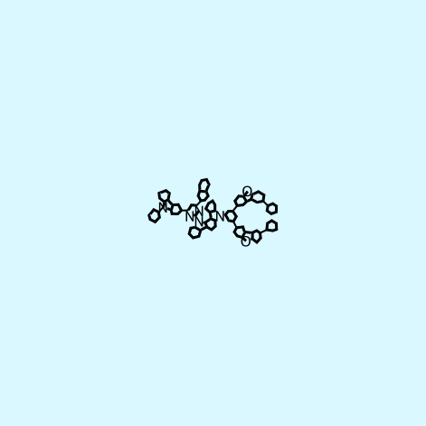 c1ccc(-c2ccc3oc4ccc(-c5cc(-c6ccc7oc8ccc(-c9ccccc9)cc8c7c6)cc(-n6c7ccccc7c7c6ccc6c8ccccc8n(-c8nc(-c9ccc%10ccccc%10c9)cc(-c9ccc%10c(c9)c9ccccc9n%10-c9ccccc9)n8)c67)c5)cc4c3c2)cc1